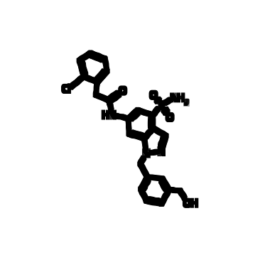 NS(=O)(=O)c1cc(NC(=O)Cc2ccccc2Cl)cc2c1cnn2Cc1cccc(CO)c1